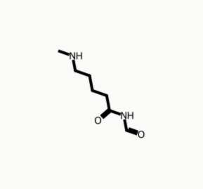 CNCCCCC(=O)NC=O